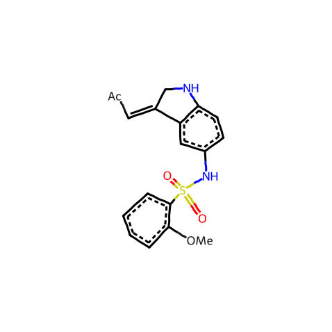 COc1ccccc1S(=O)(=O)Nc1ccc2c(c1)C(=CC(C)=O)CN2